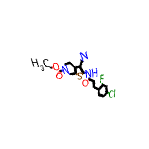 CCOC(=O)N1CCc2c(sc(NC(=O)/C=C/c3ccc(Cl)cc3F)c2C#N)C1